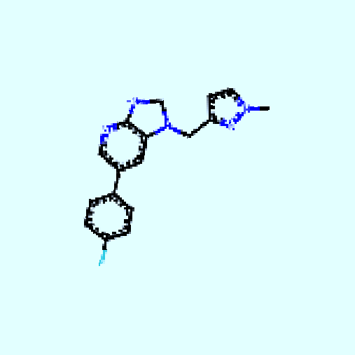 Cn1ccc(CN2CNc3ncc(-c4ccc(F)cc4)cc32)n1